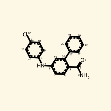 NC(=O)c1ccc(Nc2ccc(Cl)cc2)cc1-c1ccccc1